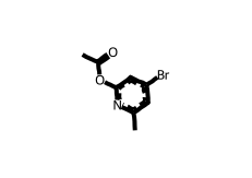 CC(=O)Oc1cc(Br)cc(C)n1